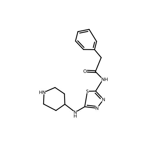 O=C(Cc1ccccc1)Nc1nnc(NC2CCNCC2)s1